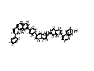 C1=Cc2c(cccc2-c2ccc3ccc(C4=CC=C5C=CC(c6ccc(-c7ccc8ccc9c(c8n7)NC(c7ccccc7)C=C9)cc6)=CC5N4)cc3n2)CN1